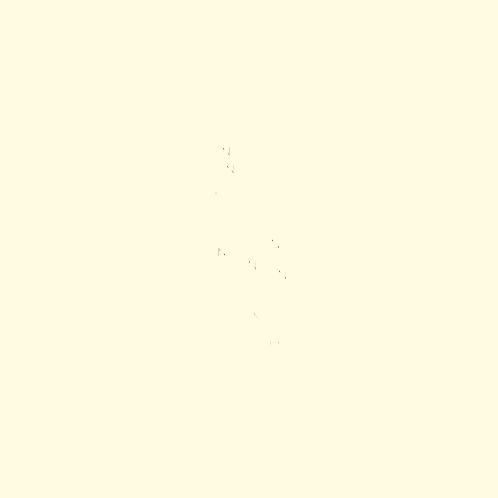 c1cc2cc(-c3c[nH]c4nc(N[C@H]5CC[C@@]6(CCO6)CC5)ncc34)ccn2n1